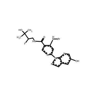 CC(C)Nc1cc(-n2ncc3cc(O)cnc32)ncc1C(=O)NCC(F)C(C)(C)O